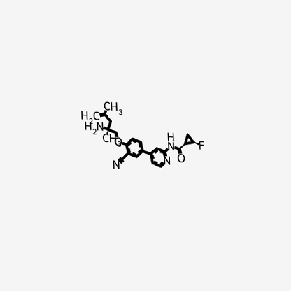 C=C(C)C[C@](C)(N)COc1ccc(-c2ccnc(NC(=O)[C@H]3C[C@H]3F)c2)cc1C#N